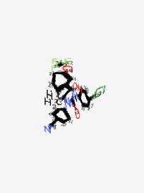 CC1(C)N(c2ccc(C#N)cc2)C(=O)N(c2ccc(Cl)cc2)C1(O)c1cccc(OC(F)(F)F)c1